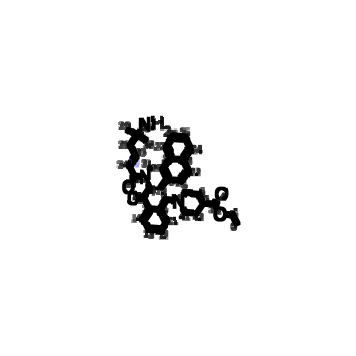 CCOC(=O)C1CCN(Cc2ccccc2C(=O)[C@@H](Cc2ccc3ccccc3c2)N(C)C(=O)/C=C/CC(C)(C)N)CC1